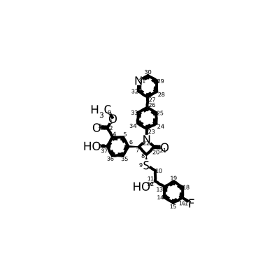 COC(=O)c1cc([C@@H]2[C@@H](SC[C@@H](O)c3ccc(F)cc3)C(=O)N2c2ccc(-c3cccnc3)cc2)ccc1O